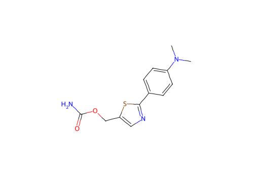 CN(C)c1ccc(-c2ncc(COC(N)=O)s2)cc1